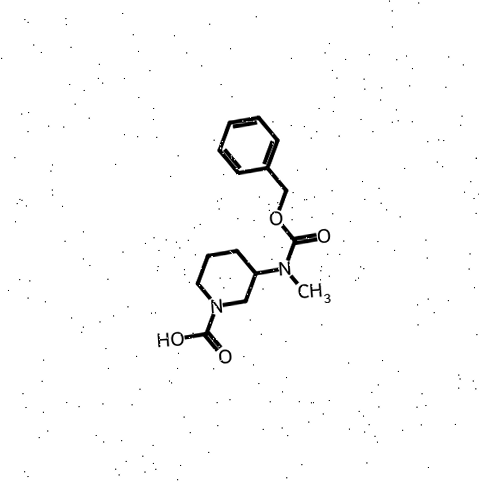 CN(C(=O)OCc1ccccc1)C1CCCN(C(=O)O)C1